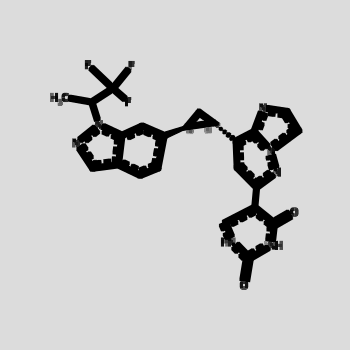 CC(n1ncc2ccc([C@H]3C[C@@H]3c3cc(-c4c[nH]c(=O)[nH]c4=O)nn4ccnc34)cc21)C(F)(F)F